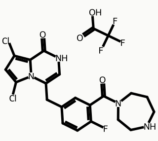 O=C(O)C(F)(F)F.O=C(c1cc(Cc2c[nH]c(=O)c3c(Cl)cc(Cl)n23)ccc1F)N1CCCNCC1